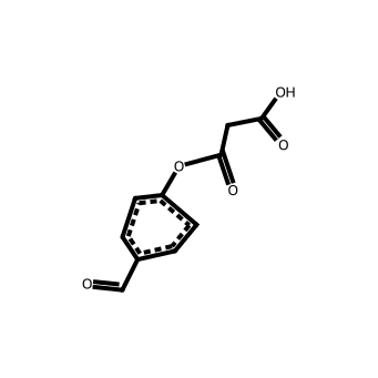 O=Cc1ccc(OC(=O)CC(=O)O)cc1